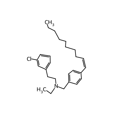 CCCCCCCC/C=C\c1ccc(CN(CC)CCc2cccc(Cl)c2)cc1